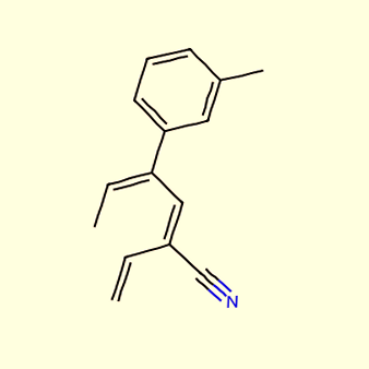 C=C/C(C#N)=C\C(=C/C)c1cccc(C)c1